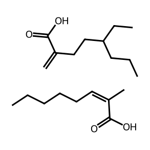 C=C(CCC(CC)CCC)C(=O)O.CCCCCC=C(C)C(=O)O